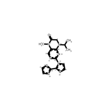 CC(C)N1CC(=O)N(C)c2cnc(-n3ccnc3-c3nccs3)nc21